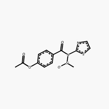 CC(=O)Oc1ccc(C(=O)N(c2nccs2)[S+](C)[O-])cc1